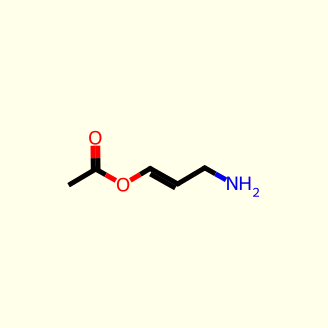 CC(=O)OC=CCN